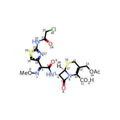 CON=C(C(=O)N[C@H]1C(=O)N2C(C(=O)O)=C(COC(C)=O)CS[C@H]12)c1csc(NC(=O)CCl)n1